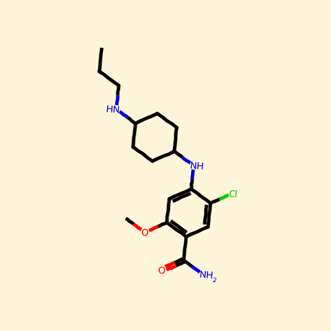 CCCNC1CCC(Nc2cc(OC)c(C(N)=O)cc2Cl)CC1